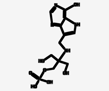 O=P(O)(O)OCC(CO)(CO)NCc1c[nH]c2c(O)ncnc12